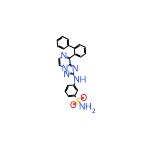 NS(=O)(=O)c1cccc(Nc2nc3c(-c4ccccc4-c4ccccc4)nccn3n2)c1